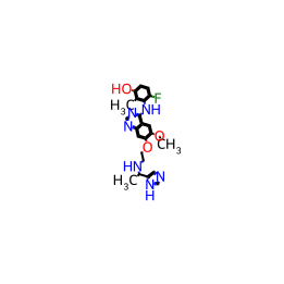 COc1cc2c(Nc3c(F)ccc(O)c3C)ncnc2cc1OCCNC(C)c1cnc[nH]1